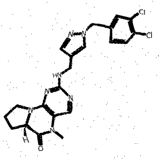 CN1C(=O)[C@@H]2CCCN2c2nc(NCc3cnn(Cc4ccc(Cl)c(Cl)c4)c3)ncc21